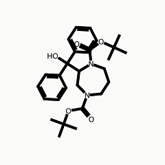 CC(C)(C)OC(=O)N1CCCN(C(=O)OC(C)(C)C)C(C(O)(c2ccccc2)c2ccccc2)C1